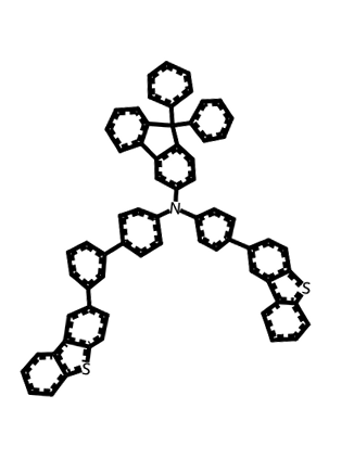 c1ccc(C2(c3ccccc3)c3ccccc3-c3cc(N(c4ccc(-c5cccc(-c6ccc7sc8ccccc8c7c6)c5)cc4)c4ccc(-c5ccc6sc7ccccc7c6c5)cc4)ccc32)cc1